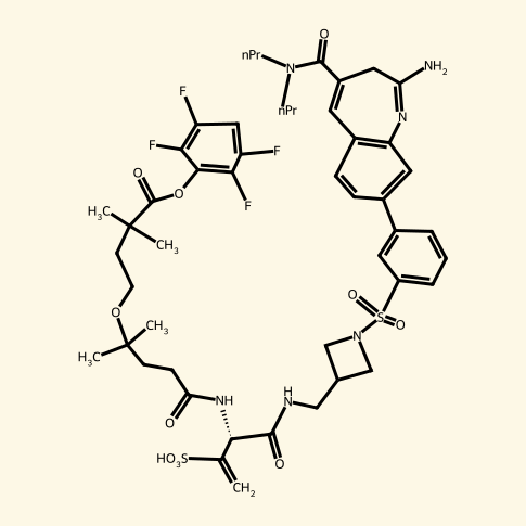 C=C([C@H](NC(=O)CCC(C)(C)OCCC(C)(C)C(=O)Oc1c(F)c(F)cc(F)c1F)C(=O)NCC1CN(S(=O)(=O)c2cccc(-c3ccc4c(c3)N=C(N)CC(C(=O)N(CCC)CCC)=C4)c2)C1)S(=O)(=O)O